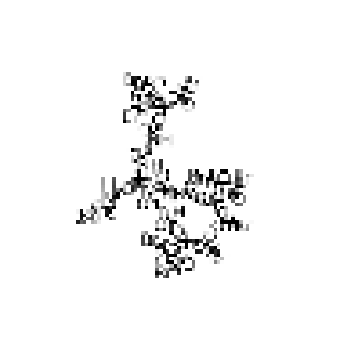 CC(C)(C)OC(=O)NCCOCC(CNC(=O)CCNC(=O)COCC(COC(=O)C(C)(C)Br)(COC(=O)C(C)(C)Br)COC(=O)C(C)(C)Br)(CNC(=O)CCNC(=O)COCC(COC(=O)C(C)(C)Br)(COC(=O)C(C)(C)Br)COC(=O)C(C)(C)Br)CNC(=O)CCNC(=O)COCC(COC(=O)C(C)(C)Br)(COC(=O)C(C)(C)Br)COC(=O)C(C)(C)Br